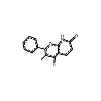 O=c1ccc2c(=O)c(I)c(-c3ccccc3)oc2[nH]1